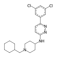 Clc1cc(Cl)cc(-c2ccc(NC3CCN(CC4CCCCC4)CC3)nn2)c1